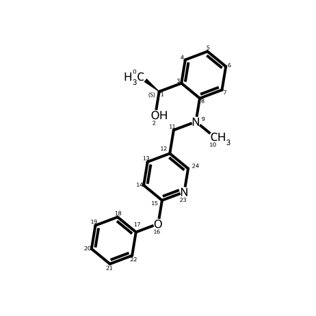 C[C@H](O)c1ccccc1N(C)Cc1ccc(Oc2ccccc2)nc1